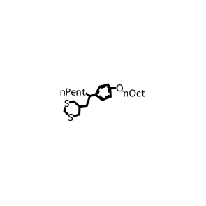 CCCCCCCCOc1ccc(C(CCCCC)CC2CSCSC2)cc1